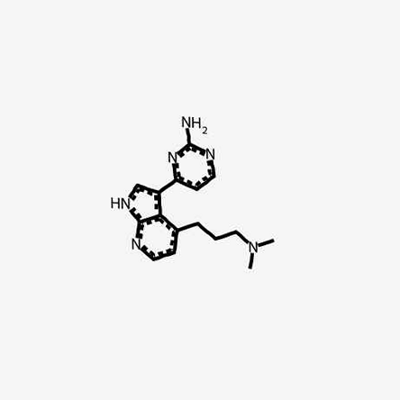 CN(C)CCCc1ccnc2[nH]cc(-c3ccnc(N)n3)c12